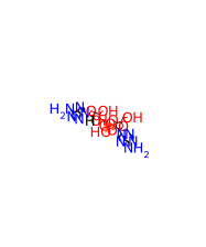 C[C@]1(n2cnc3c(N)ncnc32)OC2C(O)[C@@H](COP(=O)(O)OC3C(O)[C@@H](CO)O[C@H]3n3cnc4c(N)ncnc43)O[C@H]21